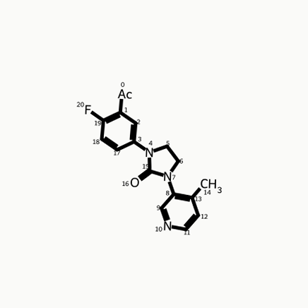 CC(=O)c1cc(N2CCN(c3cnccc3C)C2=O)ccc1F